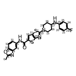 Cc1nc2cc(NC(=O)c3cc4sc(N5CCC(Nc6ccc(F)cc6)CC5)nc4s3)ccc2o1